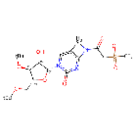 CC(C)(C)OC[C@H]1O[C@@H](n2cc3c(nc2=O)N(C(=O)CS(=O)(=O)C(F)(F)F)[SiH2]3)[C@@H](O)[C@@H]1OC(C)(C)C